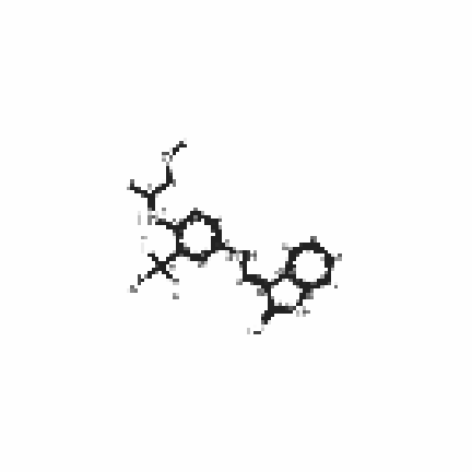 COCC(C)Nc1ccc(N/C=C2/C(=O)Nc3ccccc32)cc1C(F)(F)F